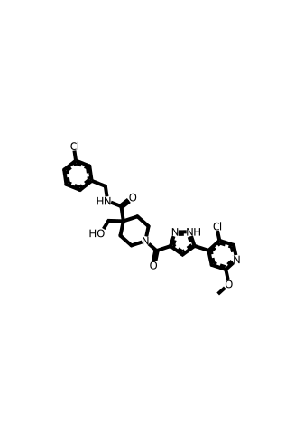 COc1cc(-c2cc(C(=O)N3CCC(CO)(C(=O)NCc4cccc(Cl)c4)CC3)n[nH]2)c(Cl)cn1